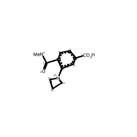 CNC(=O)c1ccc(C(=O)O)cc1N1CCC1